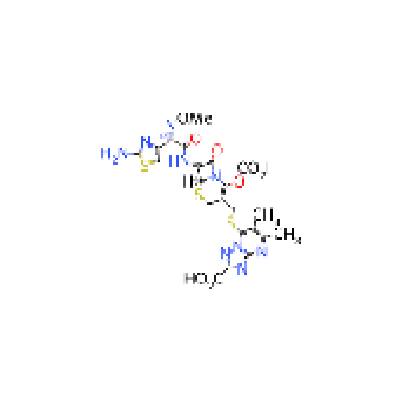 CO/N=C(\C(=O)N[C@@H]1C(=O)N2C(OC(=O)O)=C(CSc3c(C)c(C)nc4nc(C(=O)O)nn34)CS[C@H]12)c1csc(N)n1